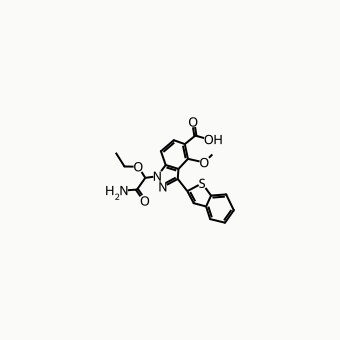 CCOC(C(N)=O)n1nc(-c2cc3ccccc3s2)c2c(OC)c(C(=O)O)ccc21